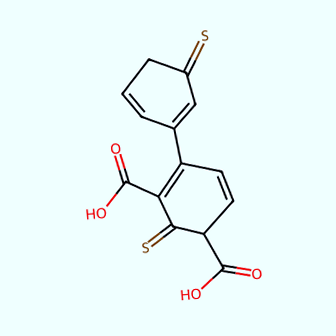 O=C(O)C1=C(C2=CC(=S)CC=C2)C=CC(C(=O)O)C1=S